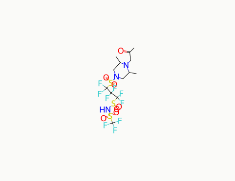 CC(=O)CN1C(C)CN(S(=O)(=O)C(F)(F)C(F)(F)C(F)(F)S(=O)(=O)NS(=O)(=O)C(F)(F)F)CC1C